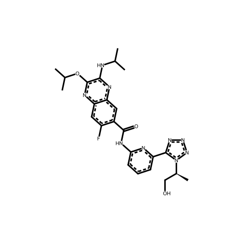 CC(C)Nc1nc2cc(C(=O)Nc3cccc(-c4nnnn4[C@@H](C)CO)n3)c(F)cc2nc1OC(C)C